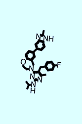 Cc1nc2cc(-c3ccc4c(c3)CN(c3nc(NC(C)C)nc(C)c3Cc3ccc(F)cc3)CCO4)ccc2[nH]1